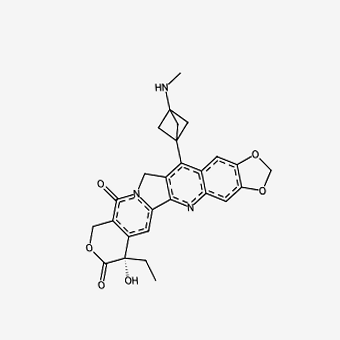 CC[C@@]1(O)C(=O)OCc2c1cc1n(c2=O)Cc2c-1nc1cc3c(cc1c2C12CC(NC)(C1)C2)OCO3